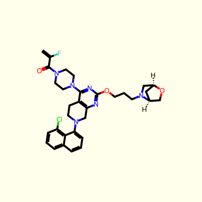 C=C(F)C(=O)N1CCN(c2nc(OCCCN3C[C@@H]4C[C@H]3CO4)nc3c2CCN(c2cccc4cccc(Cl)c24)C3)CC1